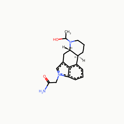 CC(O)N1CCC[C@H]2c3cccc4c3c(cn4CC(N)=O)C[C@@H]21